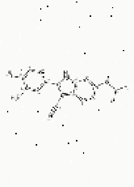 CC(C)Oc1ccc2c(C#N)c(-c3ccc(O)c(N)c3)[nH]c2c1